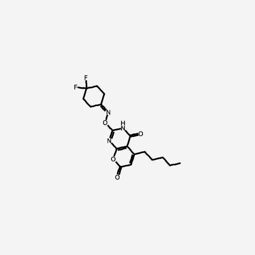 CCCCCc1cc(=O)oc2nc(ON=C3CCC(F)(F)CC3)[nH]c(=O)c12